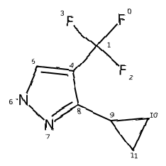 FC(F)(F)C1=C[N]N=C1C1CC1